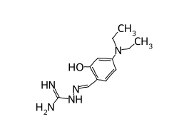 CCN(CC)c1ccc(C=NNC(=N)N)c(O)c1